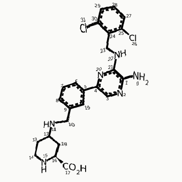 Nc1ncc(-c2cccc(CNC3CCN[C@H](C(=O)O)C3)c2)nc1NCc1c(Cl)cccc1Cl